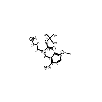 COc1ccc(Br)c(CN(CCCO)C(=O)OC(C)(C)C)c1